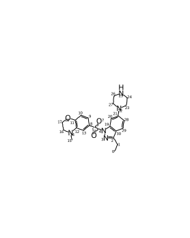 CCc1nn(S(=O)(=O)c2ccc3c(c2)N(C)CCO3)c2cc(N3CCNCC3)ccc12